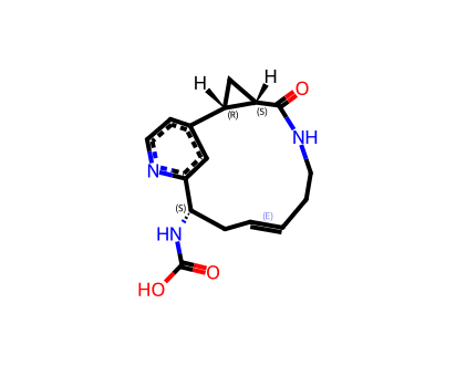 O=C(O)N[C@H]1C/C=C/CCNC(=O)[C@H]2C[C@H]2c2ccnc1c2